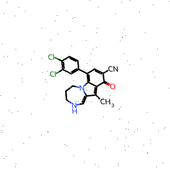 Cc1c2c(n3c1=CNCCC3)=C(c1ccc(Cl)c(Cl)c1)C=C(C#N)C2=O